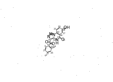 Cc1ccc(S(=O)(=O)c2nnn3c2[nH]c(=O)c2cc(O)ccc23)c(C)c1